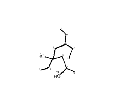 CCC(CC)CC(O)(CC)CC(C)O